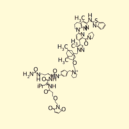 Cc1c(Nc2nc3ccccc3s2)nnc2c1CCCN2c1ccc(-c2cnn(CC34CC5(C)CC(C)(C3)CC(OCC[N+]3(Cc6ccc(NC(=O)[C@H](CCCNC(N)=O)NC(=O)[C@@H](NC(=O)CCOCCN7C(=O)C=CC7=O)C(C)C)cc6)CCCC3)(C5)C4)c2C)c(C(=O)N2CCCC2)n1